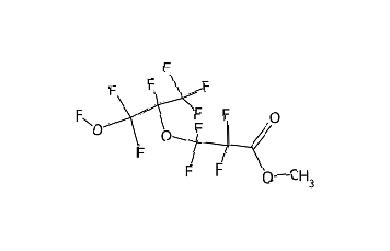 COC(=O)C(F)(F)C(F)(F)OC(F)(C(F)(F)F)C(F)(F)OF